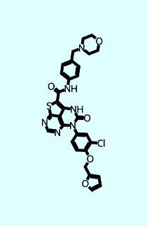 O=C(Nc1ccc(CN2CCOCC2)cc1)c1sc2ncnc3c2c1NC(=O)N3c1ccc(OCc2ccco2)c(Cl)c1